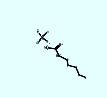 CCCCCNC(N)=O.F[B-](F)(F)F